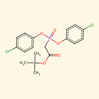 C[Si](C)(C)OC(=O)[CH]P(=O)(Oc1ccc(Cl)cc1)Oc1ccc(Cl)cc1